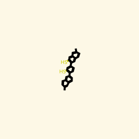 Cc1ccc2cc(-c3ccc(-c4cc5ccc(C)cc5cc4S)cc3S)ccc2c1